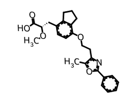 CO[C@@H](Cc1ccc(OCCc2nc(-c3ccccc3)oc2C)c2c1CCC2)C(=O)O